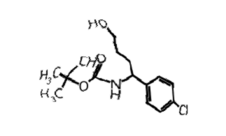 CC(C)(C)OC(=O)NC(CCCO)c1ccc(Cl)cc1